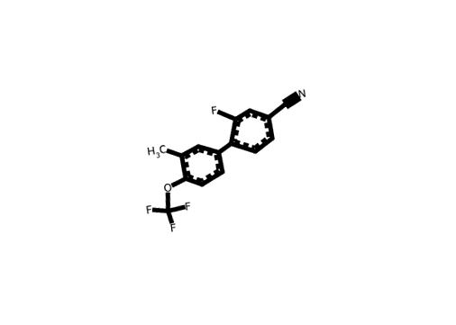 Cc1cc(-c2ccc(C#N)cc2F)ccc1OC(F)(F)F